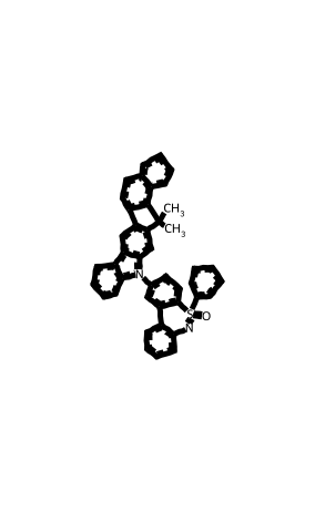 CC1(C)c2cc3c(cc2-c2ccc4ccccc4c21)c1ccccc1n3-c1ccc2c(c1)-c1ccccc1N=S2(=O)c1ccccc1